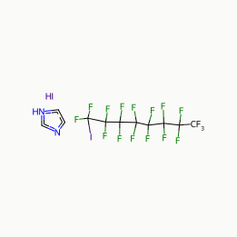 FC(F)(F)C(F)(F)C(F)(F)C(F)(F)C(F)(F)C(F)(F)C(F)(F)C(F)(F)I.I.c1c[nH]cn1